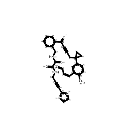 C=C/C=C\c1cc(C2(CC#CC(=O)c3ccccc3CNC(=O)C(=O)NCC#Cc3nccs3)CC2)ccc1C